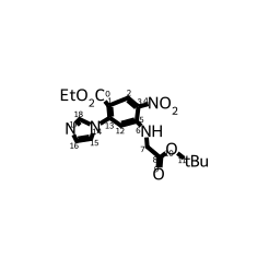 CCOC(=O)c1cc([N+](=O)[O-])c(NCC(=O)OC(C)(C)C)cc1-n1ccnc1